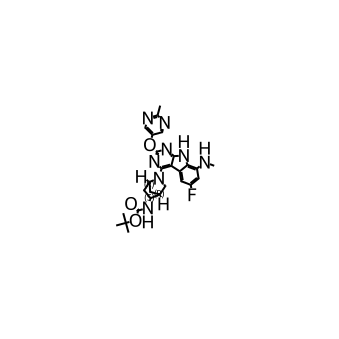 CNc1cc(F)cc2c1[nH]c1nc(Oc3cnc(C)nc3)nc(N3C[C@H]4C[C@@H]3C[C@@H]4NC(=O)OC(C)(C)C)c12